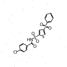 O=C(NS(=O)(=O)c1cc(S(=O)(=O)c2ccccc2)cs1)c1ccc(Cl)cc1